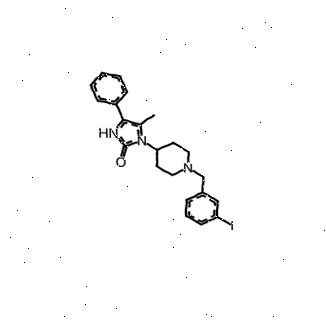 Cc1c(-c2ccccc2)[nH]c(=O)n1C1CCN(Cc2cccc(I)c2)CC1